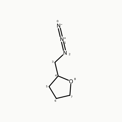 [N-]=[N+]=NCC1CCCO1